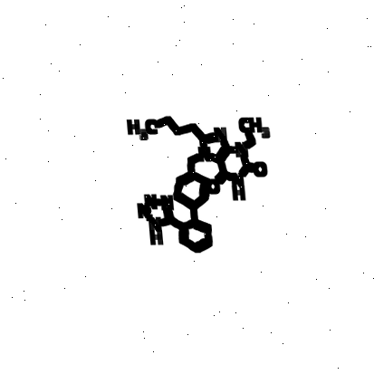 CCCCc1nc2c(c(=O)[nH]c(=O)n2CC)n1Cc1ccc(-c2ccccc2-c2nnn[nH]2)cc1